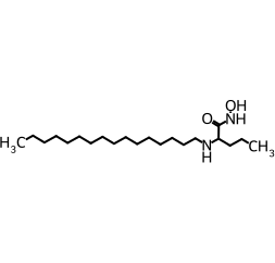 CCCCCCCCCCCCCCCCNC(CCC)C(=O)NO